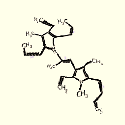 C=C/C=C\c1c(C)c(/C=C(\C)n2c(/C=C\C)c(C)c(C=C)c2/C=C\C)c(C=C)n1C